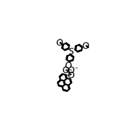 COc1ccc([S+](c2ccc(OC)cc2)c2ccc(OC)cc2)cc1.O=S(=O)([O-])c1ccc2ccc3cccc4ccc1c2c34